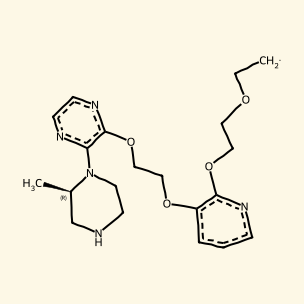 [CH2]COCCOc1ncccc1OCCOc1nccnc1N1CCNC[C@H]1C